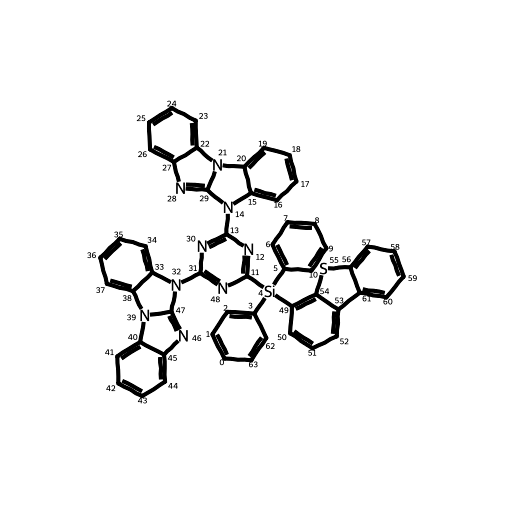 c1ccc([Si](c2ccccc2)(c2nc(-n3c4ccccc4n4c5ccccc5nc34)nc(-n3c4ccccc4n4c5ccccc5nc34)n2)c2cccc3c2sc2ccccc23)cc1